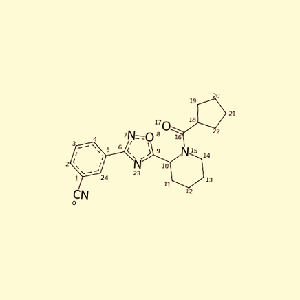 N#Cc1cccc(-c2noc(C3CCCCN3C(=O)C3CCCC3)n2)c1